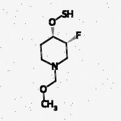 COCN1CC[C@H](OS)[C@H](F)C1